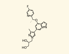 Cc1nn(C[C@H](O)CO)cc1-c1cc(O[C@H](C)c2ccc(F)cn2)c2ccnn2c1